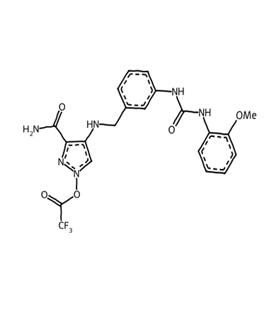 COc1ccccc1NC(=O)Nc1cccc(CNc2cn(OC(=O)C(F)(F)F)nc2C(N)=O)c1